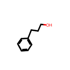 OCCCc1cc[c]cc1